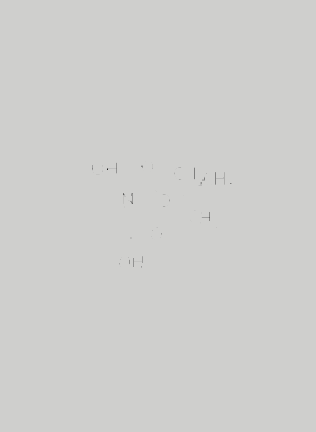 CC(C)(C)OC(=O)N1C(O)CCC1C(=O)O